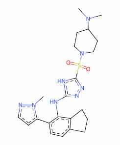 CN(C)C1CCN(S(=O)(=O)c2nnc(Nc3c(-c4ccnn4C)ccc4c3CCC4)[nH]2)CC1